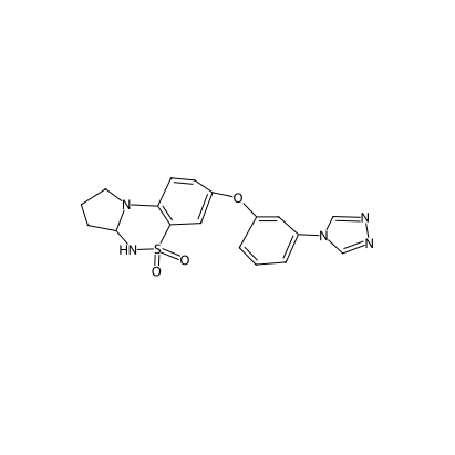 O=S1(=O)NC2CCCN2c2ccc(Oc3cccc(-n4cnnc4)c3)cc21